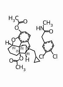 CC(=O)Oc1ccc2c3c1O[C@H]1CCC[C@@]4(OC(C)=O)[C@@H](C2)N(CC2CC2)CC[C@]314.CNC(=O)Cc1ccc(Cl)c(Cl)c1